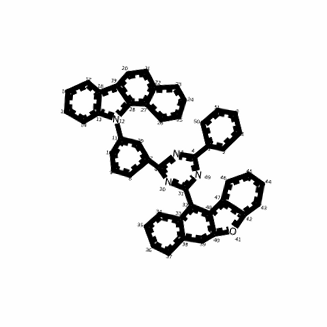 c1ccc(-c2nc(-c3cccc(-n4c5ccccc5c5ccc6ccccc6c54)c3)nc(-c3c4ccccc4cc4oc5ccccc5c34)n2)cc1